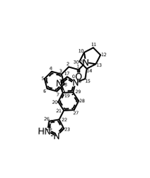 O=C(Cc1ccccc1)N1C2CCC1C(Cn1cnc3cc(-c4cn[nH]c4)ccc31)C2